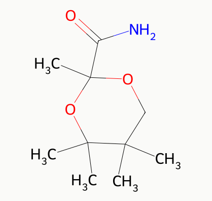 CC1(C(N)=O)OCC(C)(C)C(C)(C)O1